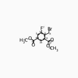 COC(=O)c1cc(F)c(CBr)c(C(=O)OC)c1